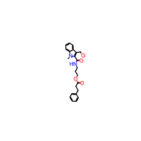 Cn1c(C(=O)NCCCOC(=O)CCc2ccccc2)c(C=O)c2ccccc21